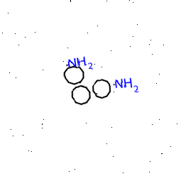 C1CCCCCCCCC1.C1CCCCCCCCC1.C1CCCCCCCCC1.CN.CN